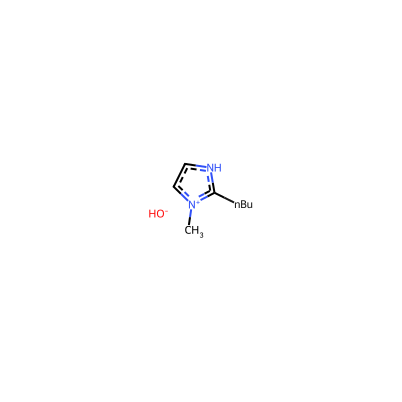 CCCCc1[nH]cc[n+]1C.[OH-]